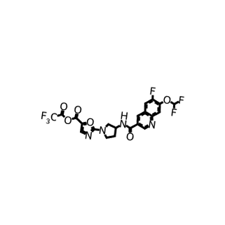 O=C(NC1CCN(c2ncc(C(=O)OC(=O)C(F)(F)F)o2)C1)c1cnc2cc(OC(F)F)c(F)cc2c1